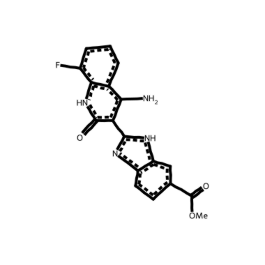 COC(=O)c1ccc2nc(-c3c(N)c4cccc(F)c4[nH]c3=O)[nH]c2c1